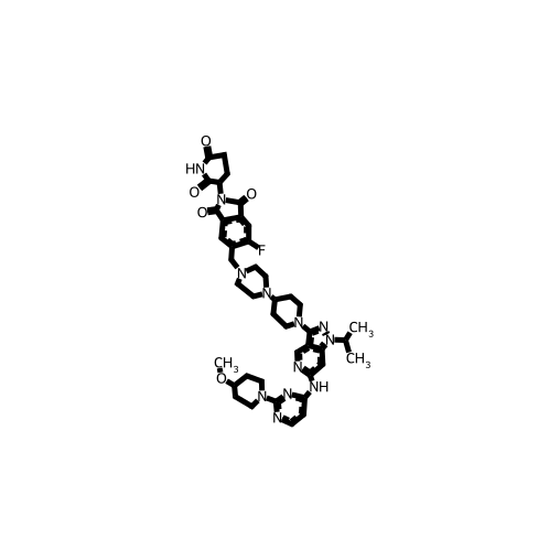 COC1CCN(c2nccc(Nc3cc4c(cn3)c(N3CCC(N5CCN(Cc6cc7c(cc6F)C(=O)N(C6CCC(=O)NC6=O)C7=O)CC5)CC3)nn4C(C)C)n2)CC1